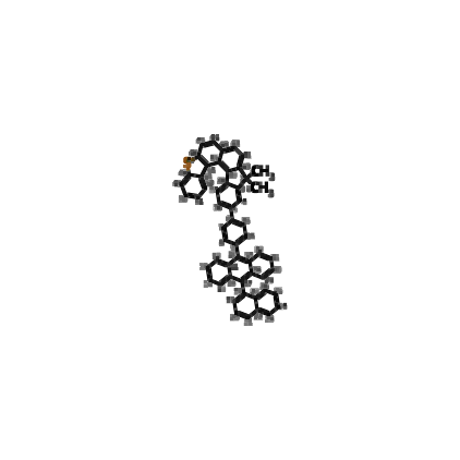 CC1(C)c2cc(-c3ccc(-c4c5ccccc5c(-c5cccc6ccccc56)c5ccccc45)cc3)ccc2-c2c1ccc1ccc3sc4ccccc4c3c21